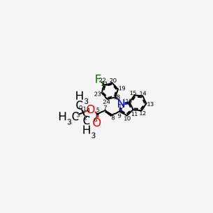 CC(C)(C)OC(=O)C=Cc1cc2ccccc2n1-c1ccc(F)cc1